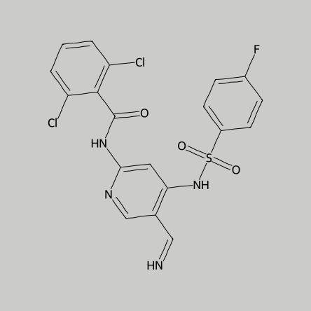 N=Cc1cnc(NC(=O)c2c(Cl)cccc2Cl)cc1NS(=O)(=O)c1ccc(F)cc1